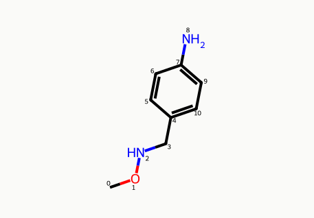 CONCc1ccc(N)cc1